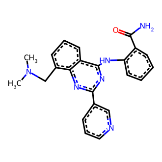 CN(C)Cc1cccc2c(Nc3ccccc3C(N)=O)nc(-c3cccnc3)nc12